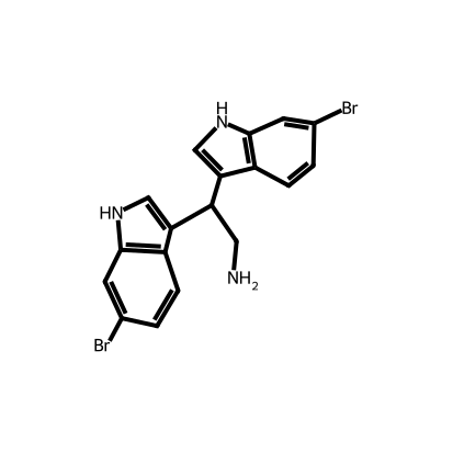 NCC(c1c[nH]c2cc(Br)ccc12)c1c[nH]c2cc(Br)ccc12